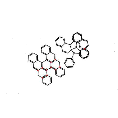 C1=CC(P(c2ccccc2)c2ccccc2)(P(c2ccccc2)c2ccccc2)C(c2cccc3ccccc23)c2ccccc21.c1ccc(P(c2ccccc2)c2ccc3ccccc3c2-c2c(P(c3ccccc3)c3ccccc3)ccc3ccccc23)cc1